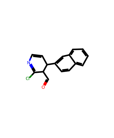 O=CC1C(Cl)=NC=CC1c1ccc2ccccc2c1